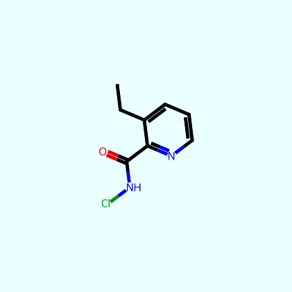 CCc1cccnc1C(=O)NCl